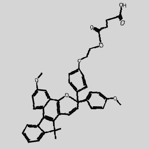 COc1ccc(C2(c3ccc(OCCOC(=O)CCC(=O)O)cc3)C=Cc3c4c(c5ccc(OC)cc5c3O2)-c2ccccc2C4(C)C)cc1